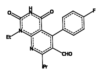 CCn1c(=O)[nH]c(=O)c2c(-c3ccc(F)cc3)c(C=O)c(C(C)C)nc21